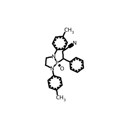 Cc1ccc(N2CCN(c3ccc(C)cc3)P2(=O)C(CC#N)c2ccccc2)cc1